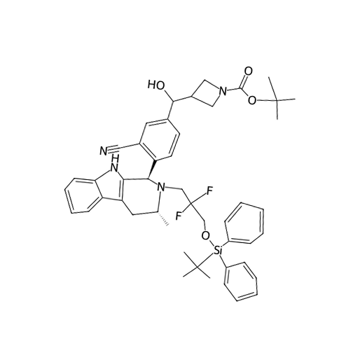 C[C@@H]1Cc2c([nH]c3ccccc23)[C@@H](c2ccc(C(O)C3CN(C(=O)OC(C)(C)C)C3)cc2C#N)N1CC(F)(F)CO[Si](c1ccccc1)(c1ccccc1)C(C)(C)C